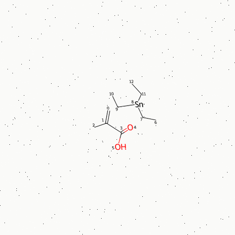 C=C(C)C(=O)O.C[CH2][Sn]([CH2]C)[CH2]C